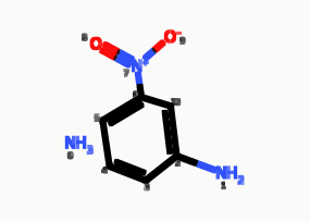 N.Nc1cccc([N+](=O)[O-])c1